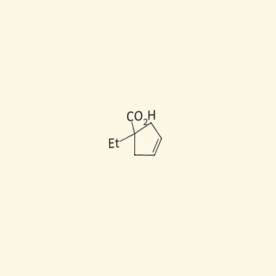 CCC1(C(=O)O)CC=CC1